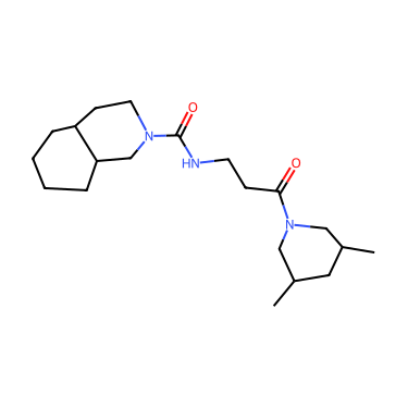 CC1CC(C)CN(C(=O)CCNC(=O)N2CCC3CCCCC3C2)C1